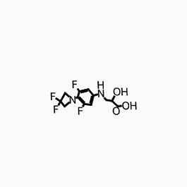 O=C(O)C(O)CNc1cc(F)c(N2CC(F)(F)C2)c(F)c1